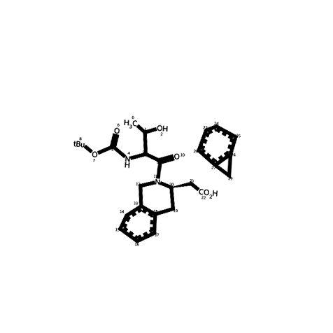 CC(O)C(NC(=O)OC(C)(C)C)C(=O)N1Cc2ccccc2C[C@@H]1CC(=O)O.c1ccc2c(c1)C2